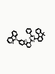 CC1(C)c2ccccc2-c2c(-c3nc(-c4ccccc4)nc(C4CC=Cc5c4oc4cc(-n6c7ccccc7c7cccnc76)ccc54)n3)cccc21